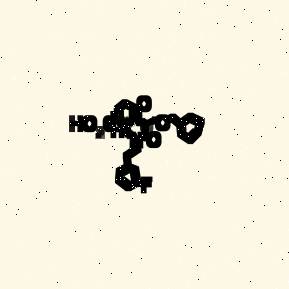 O=C1[C@H](COCc2ccccc2)N2C(=O)CCN(C(=O)O)[C@H]2CN1CCc1cccc(F)c1